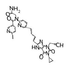 C#CCn1c(=O)n(C2CC2)c(=O)c2[nH]c(/C=C/C=C/c3ccc(N(CC(N)=O)C(=O)c4ccc(I)nc4)nc3)nc21